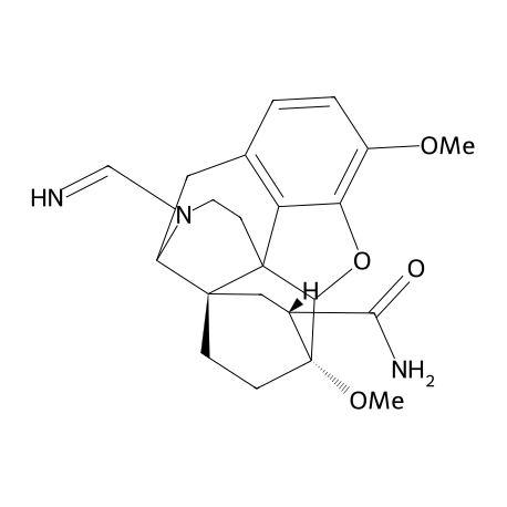 COc1ccc2c3c1OC1C34CCN(C=N)C(C2)[C@]42CC[C@@]1(OC)[C@@H](C(N)=O)C2